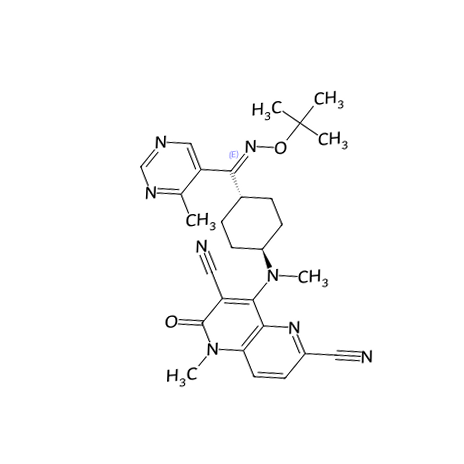 Cc1ncncc1/C(=N/OC(C)(C)C)[C@H]1CC[C@H](N(C)c2c(C#N)c(=O)n(C)c3ccc(C#N)nc23)CC1